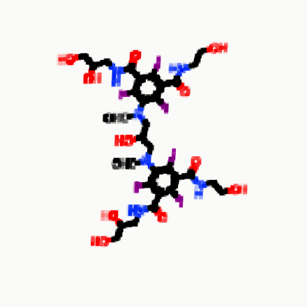 O=CN(CC(O)CN(C=O)c1c(I)c(C(=O)NCCO)c(I)c(C(=O)NCC(O)CO)c1I)c1c(I)c(C(=O)NCCO)c(I)c(C(=O)NCC(O)CO)c1I